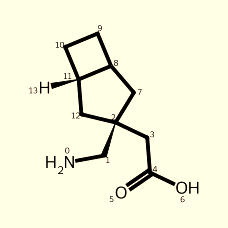 NC[C@]1(CC(=O)O)CC2CC[C@H]2C1